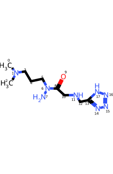 CN(C)CCCN(N)C(=O)CNCc1nnn[nH]1